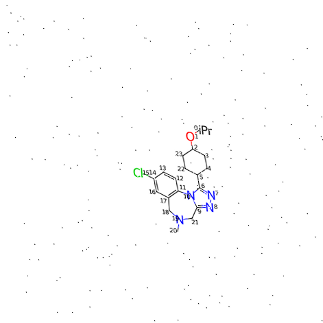 CC(C)OC1CCC(c2nnc3n2-c2ccc(Cl)cc2CN(C)C3)CC1